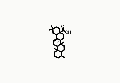 CC1CCCC2(C)C1CCC1(C)C2CC=C2C3CC(C)(C)CCC3(C(=O)O)CC[C@]21C